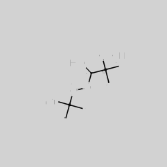 CCCC(C)(C)OOC(O)C(C)(C)C(=O)O